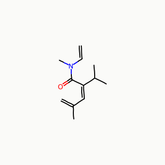 C=CN(C)C(=O)/C(=C\C(=C)C)C(C)C